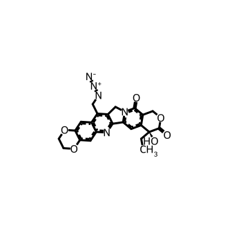 CC[C@@]1(O)C(=O)OCc2c1cc1n(c2=O)Cc2c-1nc1cc3c(cc1c2CN=[N+]=[N-])OCCO3